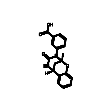 C[C@@]12C[C@@H](NC(=O)N1c1cccc(C(=O)O)c1)c1ccccc1O2